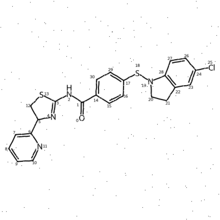 O=C(NC1=NC(c2ccccn2)CS1)c1ccc(SN2CCc3cc(Cl)ccc32)cc1